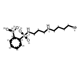 NCCCCNCCCNS(=O)(=O)c1ccccc1[N+](=O)[O-]